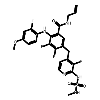 C=CCNC(=O)c1cc(Cc2ccnc(NS(=O)(=O)NC)c2F)c(F)c(F)c1Nc1ccc(OC)cc1F